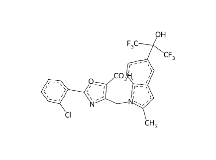 Cc1cc2cc(C(O)(C(F)(F)F)C(F)(F)F)ccc2n1Cc1nc(-c2ccccc2Cl)oc1C(=O)O